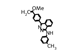 C=C(OC)c1ccc(-c2nnc(Nc3cccc(C)c3)c3ccccc23)cc1